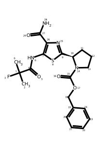 CC(C)(F)C(=O)Nc1sc([C@H]2CCCN2C(=O)OCc2ccccc2)nc1C(N)=O